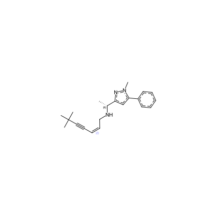 C[C@@H](NC/C=C\C#CC(C)(C)C)c1cc(-c2ccccc2)n(C)n1